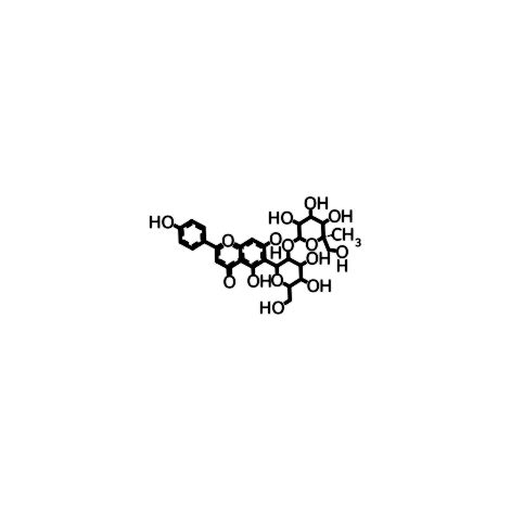 C[C@]1(CO)OC(OC2C(c3c(O)cc4oc(-c5ccc(O)cc5)cc(=O)c4c3O)OC(CO)C(O)C2O)C(O)C(O)C1O